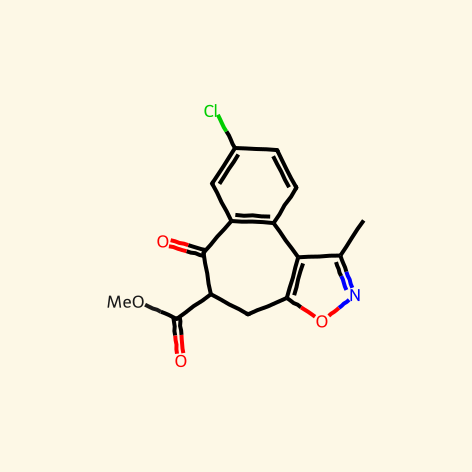 COC(=O)C1Cc2onc(C)c2-c2ccc(Cl)cc2C1=O